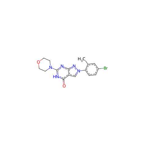 Cc1cc(Br)ccc1-n1cc2c(=O)[nH]c(N3CCOCC3)nc2n1